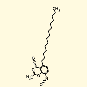 CCCCCCCCCCCCCCCc1ccc(N=C=O)c(OC(C)=O)c1N=C=O